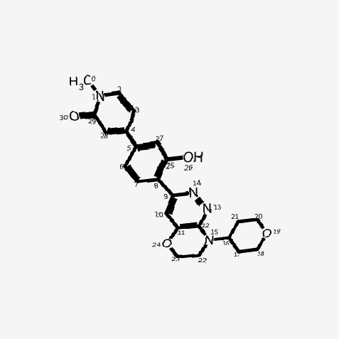 Cn1ccc(-c2ccc(-c3cc4c(nn3)N(C3CCOCC3)CCO4)c(O)c2)cc1=O